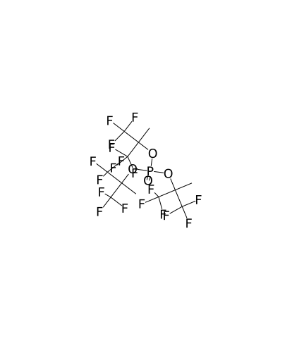 CC(OP(=O)(OC(C)(C(F)(F)F)C(F)(F)F)OC(C)(C(F)(F)F)C(F)(F)F)(C(F)(F)F)C(F)(F)F